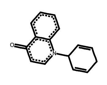 O=c1ccn(C2C=CCC=C2)c2ccccc12